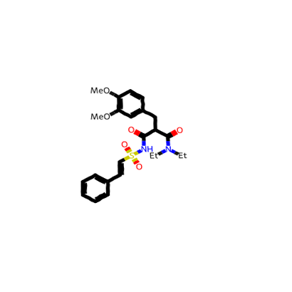 CCN(CC)C(=O)C(Cc1ccc(OC)c(OC)c1)C(=O)NS(=O)(=O)/C=C/c1ccccc1